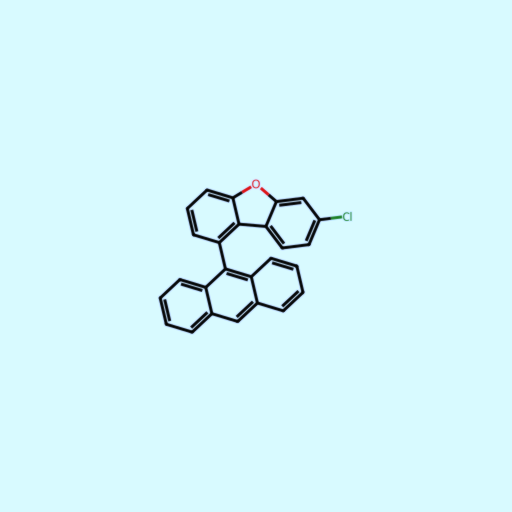 Clc1ccc2c(c1)oc1cccc(-c3c4ccccc4cc4ccccc34)c12